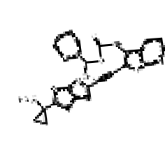 CC(OC(=O)Nc1c(C#Cc2cc3cc(C4(C(=O)O)CC4)oc3o2)oc2ncccc12)c1ccccc1